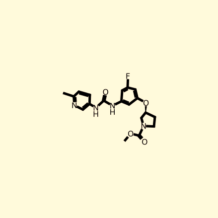 COC(=O)N1CC[C@H](Oc2cc(F)cc(NC(=O)Nc3ccc(C)nc3)c2)C1